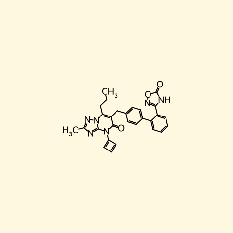 CCCc1c(Cc2ccc(-c3ccccc3-c3noc(=O)[nH]3)cc2)c(=O)n(C2=CC=C2)c2nc(C)nn12